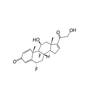 C[C@]12C=CC(=O)C=C1[C@@H](F)C[C@H]1C3CC=C(C(=O)CO)[C@@]3(C)C[C@H](O)[C@@]12F